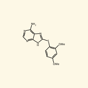 COc1ccc(Sc2nc3c(N)ncnc3[nH]2)c(OC)c1